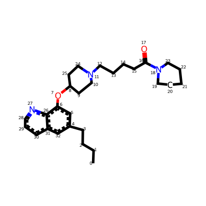 CCCCc1cc(OC2CCN(CCCCC(=O)N3CCCCC3)CC2)c2ncccc2c1